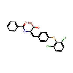 O=C(O)/C(=C\c1ccc(Sc2c(Cl)cccc2Cl)cc1)NC(=O)c1ccccc1